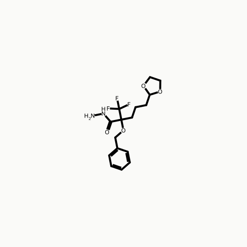 NNC(=O)C(CCCC1OCCO1)(OCc1ccccc1)C(F)(F)F